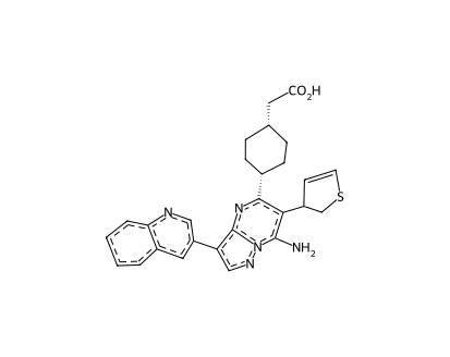 Nc1c(C2C=CSC2)c([C@H]2CC[C@@H](CC(=O)O)CC2)nc2c(-c3cnc4ccccc4c3)cnn12